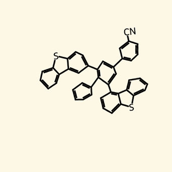 N#Cc1cccc(-c2cc(-c3ccc4sc5ccccc5c4c3)c(-c3ccccc3)c(-c3cccc4sc5ccccc5c34)c2)c1